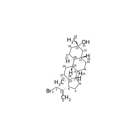 C=C(CBr)[C@H]1CC[C@H]2[C@@H]3CC[C@H]4C[C@@](C)(O)CC[C@@H]4[C@H]3CC[C@]12C